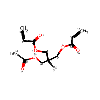 C=CC(=O)OCC(CC)(COC(=O)C=C)COC(=O)CCC